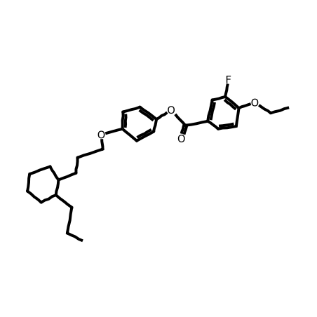 CCCC1CCCCC1CCCOc1ccc(OC(=O)c2ccc(OCC)c(F)c2)cc1